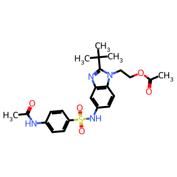 CC(=O)Nc1ccc(S(=O)(=O)Nc2ccc3c(c2)nc(C(C)(C)C)n3CCOC(C)=O)cc1